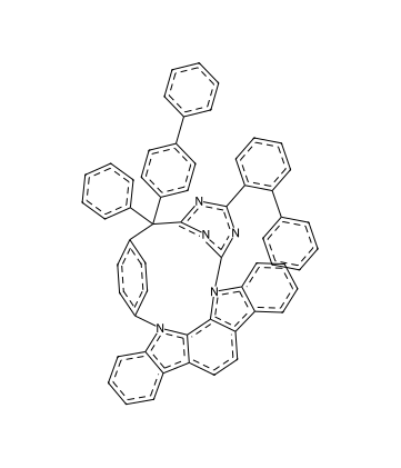 c1ccc(-c2ccc(C3(c4ccccc4)c4ccc(cc4)-n4c5ccccc5c5ccc6c7ccccc7n(c6c54)-c4nc(-c5ccccc5-c5ccccc5)nc3n4)cc2)cc1